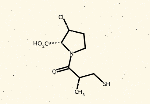 CC(CS)C(=O)N1CCC(Cl)[C@H]1C(=O)O